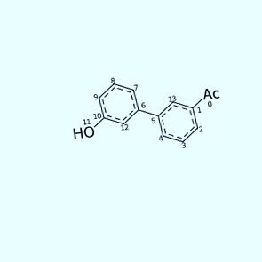 CC(=O)c1cccc(-c2cccc(O)c2)c1